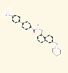 CN(Cc1cccc2cc(CN3CCCCC3)ccc12)C(=O)c1ccc(-c2ccc([N+](=O)[O-])cc2)cc1